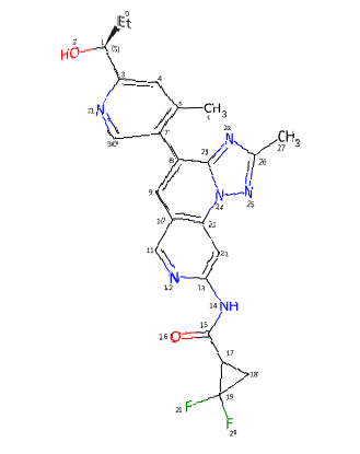 CC[C@H](O)c1cc(C)c(-c2cc3cnc(NC(=O)C4CC4(F)F)cc3n3nc(C)nc23)cn1